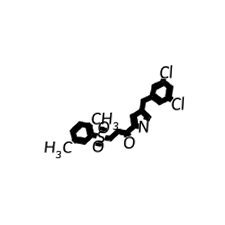 Cc1ccc(C)c(S(=O)(=O)CCC(=O)C2=CC(Cc3cc(Cl)cc(Cl)c3)C=N2)c1